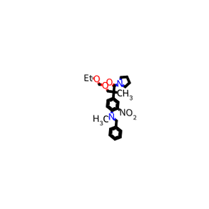 CCOCOCC(C)(C(=O)N1CCCC1)c1ccc(N(C)Cc2ccccc2)c([N+](=O)[O-])c1